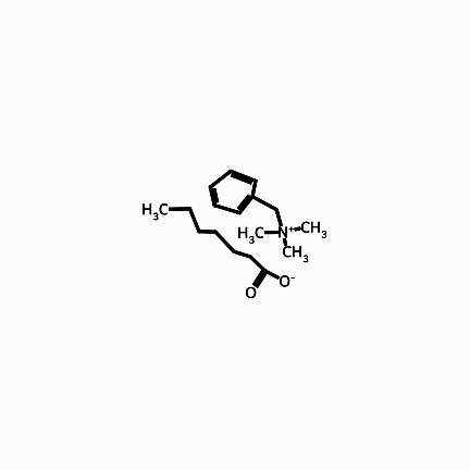 CCCCCCC(=O)[O-].C[N+](C)(C)Cc1ccccc1